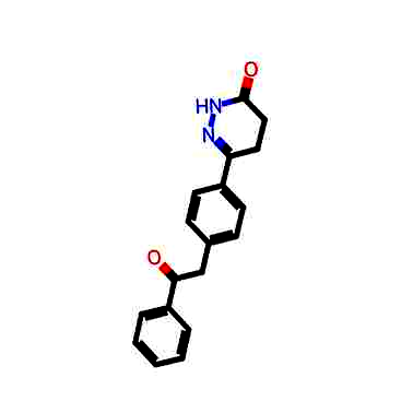 O=C1CCC(c2ccc(CC(=O)c3ccccc3)cc2)=NN1